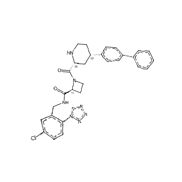 O=C(NCc1cc(Cl)ccc1-n1cnnn1)[C@@H]1CCN1C(=O)[C@H]1C[C@@H](c2ccc(-c3ccccc3)cc2)CCN1